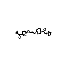 O=C(c1ccc(OCCCN2CCCN(C(=O)CN3CCCC3)CC2)cc1)C1CC1